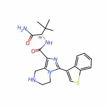 CC(C)(C)[C@H](NC(=O)c1nc(-c2csc3ccccc23)n2c1CNCC2)C(N)=O